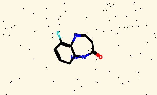 O=C1CC=NC2=C(F)C=CCC23CNCCN13